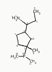 CCC(N)C1CCC(C)(P(C)C)C1